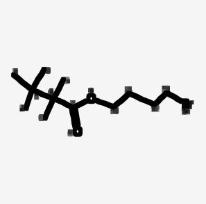 CC(C)(C)C(C)(C)C(=O)OCCCCBr